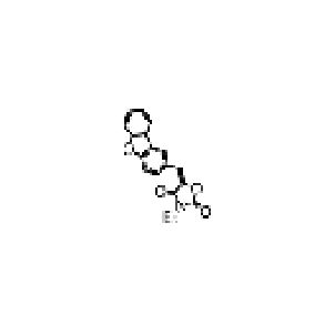 CCN1C(=O)O/C(=C/c2ccc3c(c2)C2C=CC=CC2O3)C1=O